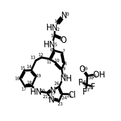 N#CNC(=O)Nc1ccc2cc1CCc1cccc(c1)Nc1ncc(Cl)c(n1)N2.O=C(O)C(F)(F)F